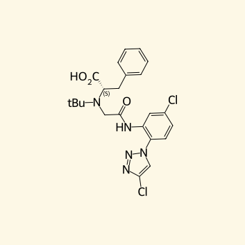 CC(C)(C)N(CC(=O)Nc1cc(Cl)ccc1-n1cc(Cl)nn1)[C@@H](Cc1ccccc1)C(=O)O